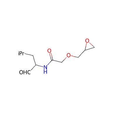 CC(C)CC(C=O)NC(=O)COCC1CO1